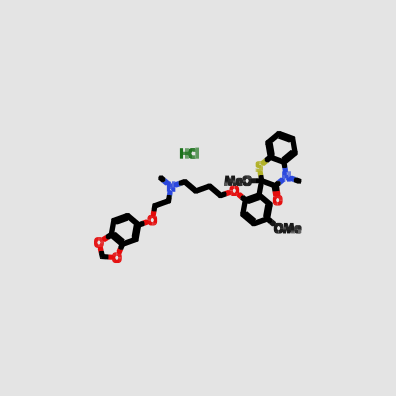 COc1ccc(OCCCCN(C)CCOc2ccc3c(c2)OCO3)c(C2(OC)Sc3ccccc3N(C)C2=O)c1.Cl